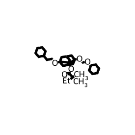 CCC(C)(C)C(=O)OC12CC3CC(OCCC4CCCCC4)(CC(OCOC4CCCCC4)(C3)C1)C2